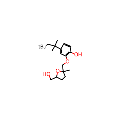 CC(C)(C)CC(C)(C)c1ccc(O)c(OCC2(C)CCC(CO)O2)c1